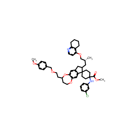 COC(=O)C1(Nc2cccc(Cl)c2)CCC2(CC1)c1cc3c(cc1CC2C[C@@H](C)COc1ccnc2c1CCCC2)OC(CCOCc1ccc(OC)cc1)CCO3